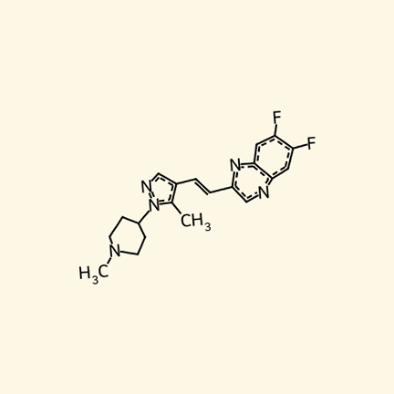 Cc1c(C=Cc2cnc3cc(F)c(F)cc3n2)cnn1C1CCN(C)CC1